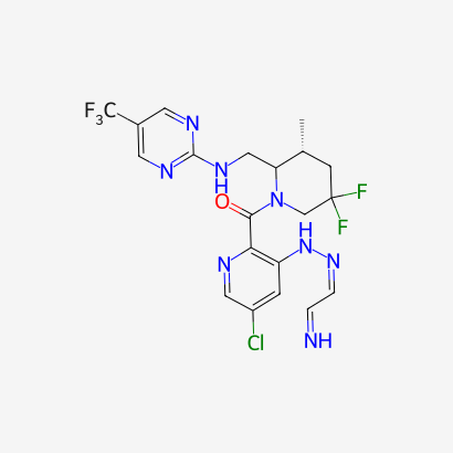 C[C@@H]1CC(F)(F)CN(C(=O)c2ncc(Cl)cc2N/N=C\C=N)C1CNc1ncc(C(F)(F)F)cn1